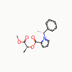 COC(=O)[C@H](C)OC(=O)c1cccn1[C@H](C)c1ccccc1